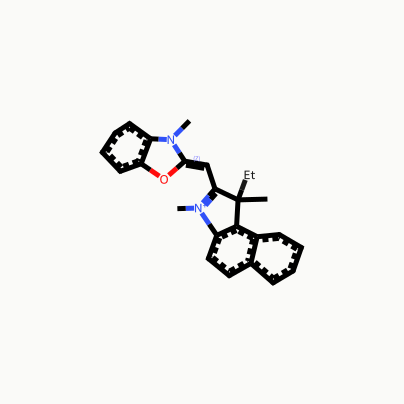 CCC1(C)C(/C=C2\Oc3ccccc3N2C)=[N+](C)c2ccc3ccccc3c21